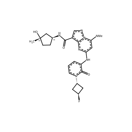 CNc1cc(Nc2cccn([C@H]3C[C@H](F)C3)c2=O)nc2c(C(=O)N[C@H]3CC[C@](C)(O)C3)cnn12